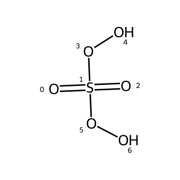 O=S(=O)(OO)OO